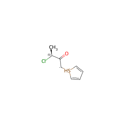 C[C@H](Cl)C(=O)[CH][SH]1C=CC=C1